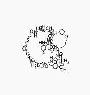 COc1ccc(C[C@@H]2NC(=O)[C@H]([C@@H](C)OC)NC(=O)[C@@H]3CC/C=C/COc4cccc(c4)C[C@H](NC(=O)[C@@H](C)NC(=O)[C@H](C)NC(=O)CCSCc4cccc(c4)CSCCNC(=O)[C@]4(C)CCCN4C2=O)C(=O)N[C@@H](Cc2c[nH]c4ccc(F)cc24)C(=O)N3C)cc1